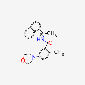 Cc1ccc(N2CCOCC2)cc1C(=O)N[C@H](C)c1cccc2ccccc12